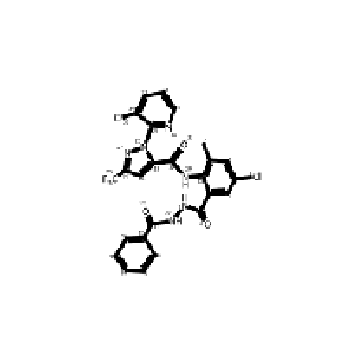 Cc1cc(Cl)cc(C(=O)NNC(=O)c2ccccc2)c1NC(=O)c1cc(C(F)(F)F)nn1-c1ncccc1Cl